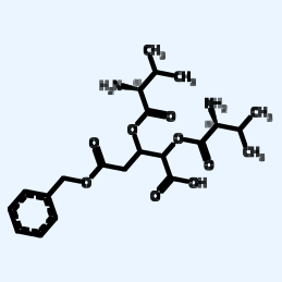 CC(C)[C@H](N)C(=O)OC(CC(=O)OCc1ccccc1)C(OC(=O)[C@@H](N)C(C)C)C(=O)O